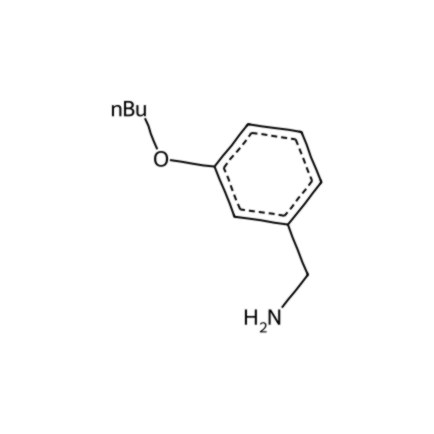 CCCCOc1cccc(CN)c1